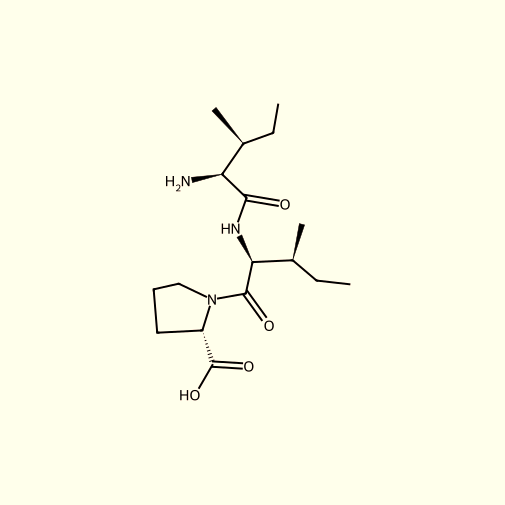 CC[C@H](C)[C@H](N)C(=O)N[C@H](C(=O)N1CCC[C@H]1C(=O)O)[C@@H](C)CC